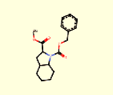 CCC(C)OC(=O)C1CC2CCCCC2N1C(=O)OCc1ccccc1